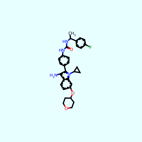 CC(NC(=O)Nc1ccc(-c2c(N)c3ccc(OC4CCOCC4)cc3n2C2CC2)cc1)c1ccc(F)cc1